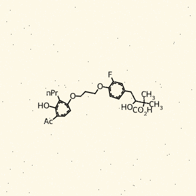 CCCc1c(OCCCOc2ccc(CC(O)C(C)(C)C(=O)O)cc2F)ccc(C(C)=O)c1O